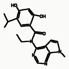 CCN(C(=O)c1cc(C(C)C)c(O)cc1O)c1ncnc2c1ccn2C